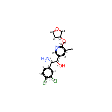 Cc1cc([C@@H](O)[C@@H](N)c2ccc(Cl)c(Cl)c2)cnc1OC1CCOC1